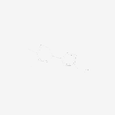 Cc1ccc(-n2cnc(C(=O)O)c2)cc1C(F)(F)F